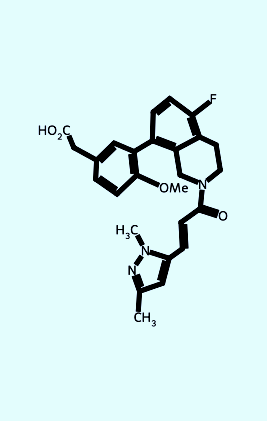 COc1ccc(CC(=O)O)cc1-c1ccc(F)c2c1CN(C(=O)C=Cc1cc(C)nn1C)CC2